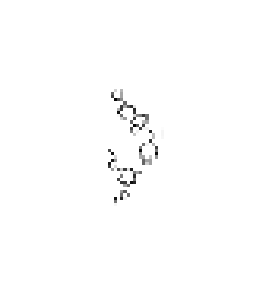 CCOc1cc(CN2CCC(Nc3nc4cc(Cl)ccc4o3)CC2)cc(OCC)c1